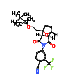 CC(C)(C)[Si](C)(C)OCC[C@@]12C=C[C@@H](O1)[C@H]1C(=O)N(c3ccc(C#N)c(C(F)(F)F)c3)C(=O)[C@H]12